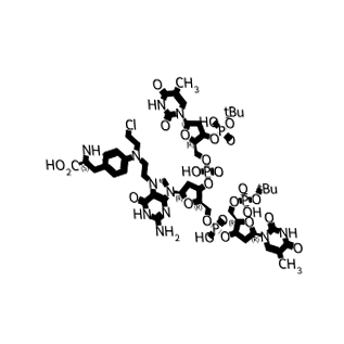 Cc1cn([C@H]2CC(OP(=O)(O)OC[C@H]3O[C@@H](n4c[n+](CCN(CCCl)c5ccc(C[C@H](N)C(=O)O)cc5)c5c(=O)[nH]c(N)nc54)CC3OP(=O)(O)OC[C@H]3O[C@@H](n4cc(C)c(=O)[nH]c4=O)CC3OP(=O)(O)OC(C)(C)C)[C@@H](COP(=O)(O)OC(C)(C)C)O2)c(=O)[nH]c1=O